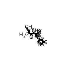 CSCC(C)C(=O)C(C)c1cn(-c2cncc(F)c2)nc1Br